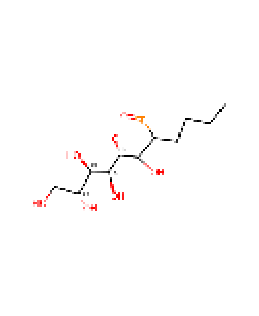 CCCCC(P=O)C(O)[C@@H](O)[C@@H](O)[C@H](O)[C@H](O)CO